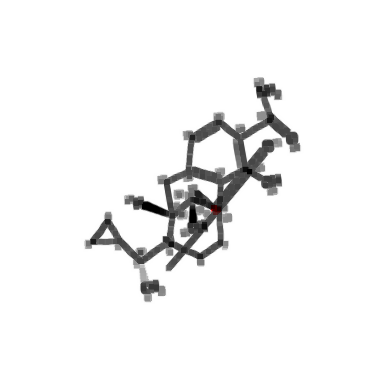 C[C@H](C1CC1)N1CCC23CC(=O)CC[C@@]2(O)[C@H]1Cc1ccc(C(N)=O)c(O)c13